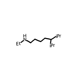 CCNCCCCC(C(C)C)C(C)C